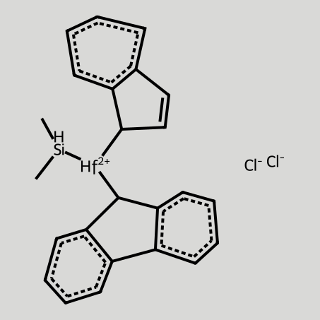 C[SiH](C)[Hf+2]([CH]1C=Cc2ccccc21)[CH]1c2ccccc2-c2ccccc21.[Cl-].[Cl-]